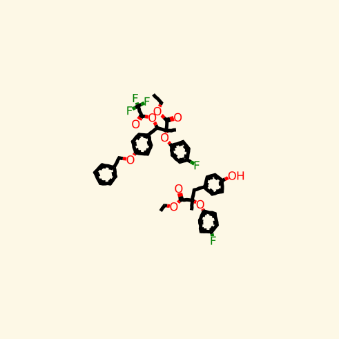 CCOC(=O)C(C)(Cc1ccc(O)cc1)Oc1ccc(F)cc1.CCOC(=O)C(C)(Oc1ccc(F)cc1)C(OC(=O)C(F)(F)F)c1ccc(OCc2ccccc2)cc1